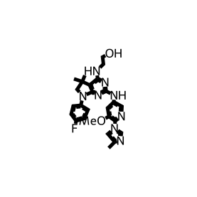 COc1cc(Nc2nc(NCCO)c3c(n2)N(c2ccc(F)cc2)CC3(C)C)cnc1-n1cnc(C)c1